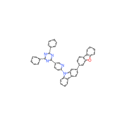 c1ccc(-c2nc(-c3ccccc3)nc(-c3ccc(-n4c5ccccc5c5ccc(-c6ccc7c(c6)oc6ccccc67)cc54)nc3)n2)cc1